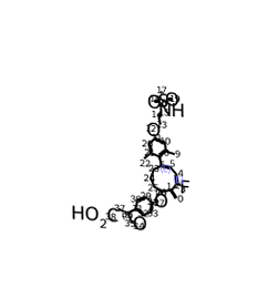 C=C1/C(F)=C\C=C(\c2c(C)cc(OCCNS(C)(=O)=O)cc2C)CCC[C@H]1Oc1ccc2c(c1)OC[C@H]2CC(=O)O